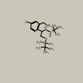 CC(C)(C)[S+]([O-])NC(CO[Si](C)(C)C(C)(C)C)c1ccc(Cl)cc1CN